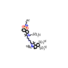 CCCCN1/C(=C/C=C/C=C/C2=[N+](CCCS(=O)(=O)O)c3ccc4c(S(=O)(=O)N(C)CCCC(C)=O)cccc4c3C2(C)C)C(C)(C)c2c1ccc1c(S(=O)(=O)O)cc(S(=O)(=O)O)cc21